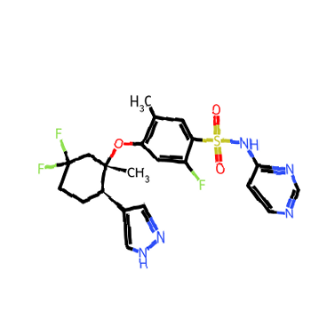 Cc1cc(S(=O)(=O)Nc2ccncn2)c(F)cc1O[C@@]1(C)CC(F)(F)CC[C@@H]1c1cn[nH]c1